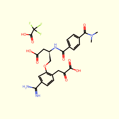 CN(C)C(=O)c1ccc(C(=O)N[C@@H](COc2cc(C(=N)N)ccc2CC(=O)C(=O)O)CC(=O)O)cc1.O=C(O)C(F)(F)F